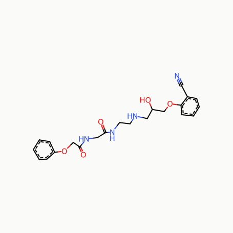 N#Cc1ccccc1OCC(O)CNCCNC(=O)CNC(=O)COc1ccccc1